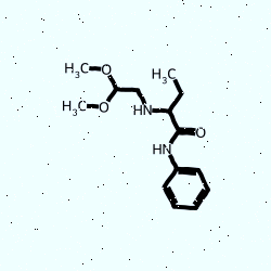 CCC(NCC(OC)OC)C(=O)Nc1ccccc1